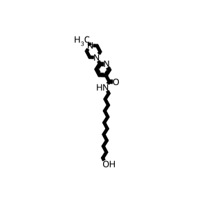 CN1CCN(c2ccc(C(=O)NCCCCCCCCCCCCO)cn2)CC1